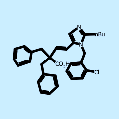 CCCCc1ncc(/C=C/C(Cc2ccccc2)(Cc2ccccc2)C(=O)O)n1Cc1ccccc1Cl